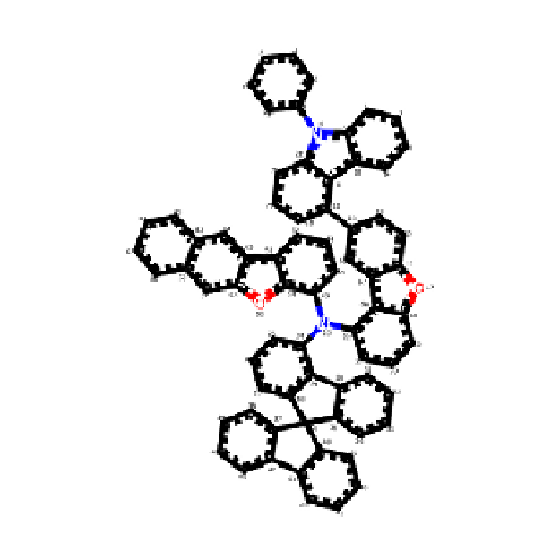 c1ccc(-n2c3ccccc3c3c(-c4ccc5oc6cccc(N(c7cccc8c7-c7ccccc7C87c8ccccc8-c8ccccc87)c7cccc8c7oc7cc9ccccc9cc78)c6c5c4)cccc32)cc1